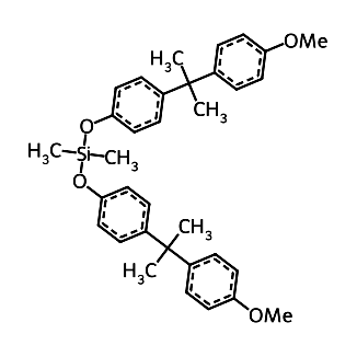 COc1ccc(C(C)(C)c2ccc(O[Si](C)(C)Oc3ccc(C(C)(C)c4ccc(OC)cc4)cc3)cc2)cc1